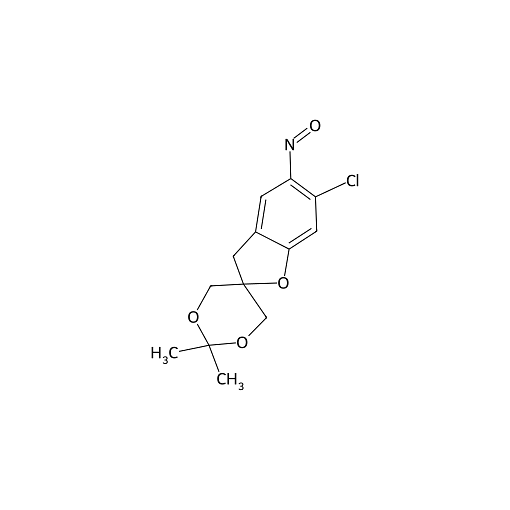 CC1(C)OCC2(CO1)Cc1cc(N=O)c(Cl)cc1O2